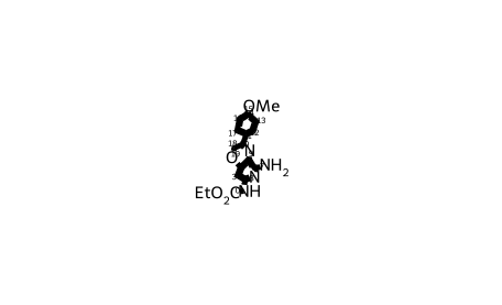 CCOC(=O)Nc1cc2c(c(N)n1)N=C(c1ccc(OC)cc1)CO2